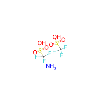 N.O=S(=O)(O)C(F)(F)F.O=S(=O)(O)C(F)(F)F